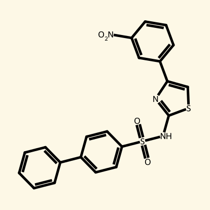 O=[N+]([O-])c1cccc(-c2csc(NS(=O)(=O)c3ccc(-c4ccccc4)cc3)n2)c1